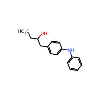 O=C(O)CC(O)Cc1ccc(Nc2ccccc2)cc1